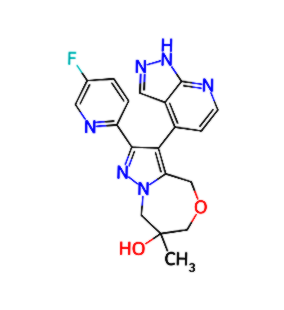 CC1(O)COCc2c(-c3ccnc4[nH]ncc34)c(-c3ccc(F)cn3)nn2C1